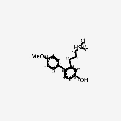 COc1ccc(-c2ccc(O)cc2CCC[SiH](Cl)Cl)cc1